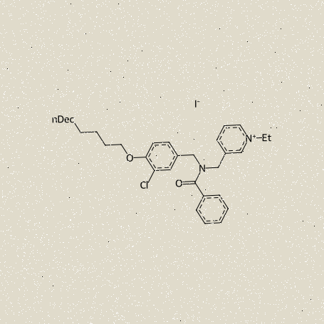 CCCCCCCCCCCCCCOc1ccc(CN(Cc2ccc[n+](CC)c2)C(=O)c2ccccc2)cc1Cl.[I-]